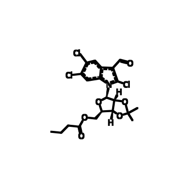 CCCC(=O)OC[C@H]1O[C@@H](n2c(Cl)c(C=O)c3cc(Cl)c(Cl)cc32)[C@@H]2OC(C)(C)O[C@@H]21